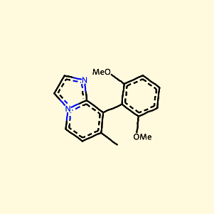 COc1cccc(OC)c1-c1c(C)ccn2ccnc12